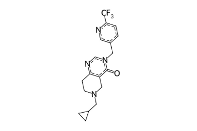 O=c1c2c(ncn1Cc1ccc(C(F)(F)F)nc1)CCN(CC1CC1)C2